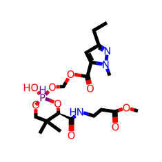 CCc1cc(C(=O)OCO[PH]2(O)OCC(C)(C)[C@H](C(=O)NCCC(=O)OC)O2)n(C)n1